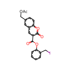 CC(=O)OCc1ccc2oc(=O)c(C(=O)Oc3ccccc3CI)cc2c1